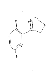 Fc1ccc(F)c(C2=NCCC2)c1